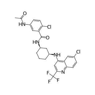 CC(=O)Nc1ccc(Cl)c(C(=O)N[C@@H]2CCC[C@H](Nc3cc(C(F)(F)F)nc4ccc(Cl)cc34)C2)c1